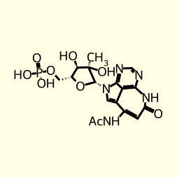 CC(=O)NC1=CC(=O)Nc2ncnc3c2c1cn3[C@@H]1O[C@H](COP(=O)(O)O)[C@@H](O)[C@@]1(C)O